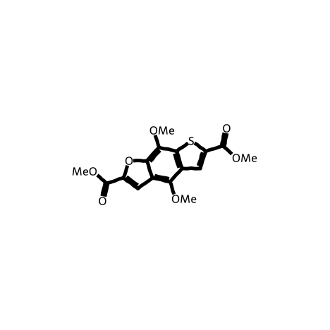 COC(=O)c1cc2c(OC)c3cc(C(=O)OC)sc3c(OC)c2o1